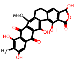 COc1c2c(c(O)c3c1C(=O)c1c(cc(O)c(C)c1O)C3=O)-c1c(cc3c(c1O)C(=O)OC3O)CC2